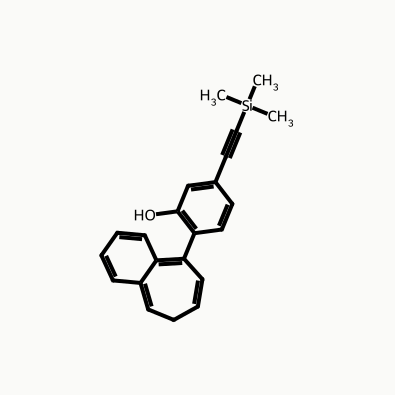 C[Si](C)(C)C#Cc1ccc(C2=c3ccccc3=CCC=C2)c(O)c1